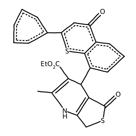 CCOC(=O)C1=C(C)NC2=C(C(=O)SC2)C1c1cccc2c(=O)cc(-c3ccccc3)sc12